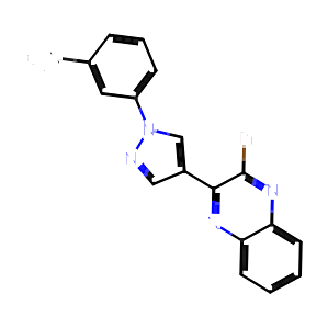 O=[N+]([O-])c1cccc(-n2cc(-c3nc4ccccc4nc3Br)cn2)c1